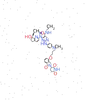 C=CCNC(=O)c1cnc(Nc2ccc(N(C)CCCCOc3cccc4c3CN(C3CCC(=O)NC3=O)C4=O)cc2)nc1Nc1ccc2c(n1)[C@@](O)(C#CC)CC2